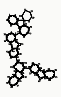 c1ccc2c(c1)-c1c(-c3cccc4c3oc3cc(-c5nc(-c6ccc7c(c6)oc6ccccc67)c6sc7ccccc7c6n5)ccc34)cccc1C21CCCCC1